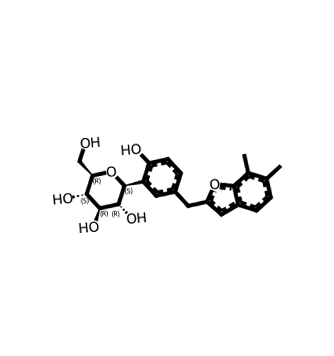 Cc1ccc2cc(Cc3ccc(O)c([C@@H]4O[C@H](CO)[C@@H](O)[C@H](O)[C@H]4O)c3)oc2c1C